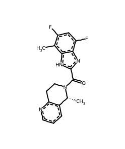 Cc1c(F)cc(F)c2nc(C(=O)N3CCc4ncccc4[C@H]3C)[nH]c12